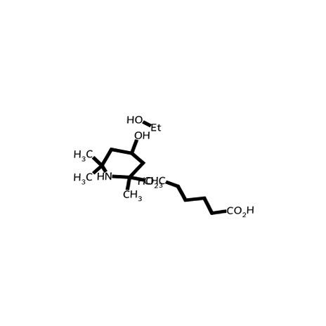 CC1(C)CC(O)CC(C)(C)N1.CCO.O=C(O)CCCCC(=O)O